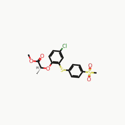 COC(=O)[C@@H](C)Oc1ccc(Cl)cc1Sc1ccc(S(C)(=O)=O)cc1